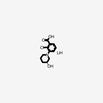 O=C(O)c1cccc(N2CCC[C@@H](O)C2)c1Cl.[LiH]